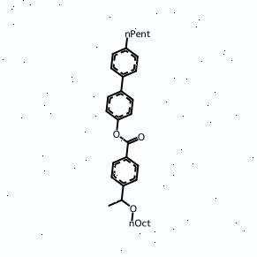 CCCCCCCCOC(C)c1ccc(C(=O)Oc2ccc(-c3ccc(CCCCC)cc3)cc2)cc1